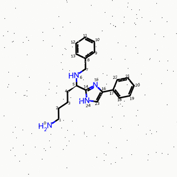 NCCCC[C@@H](NCc1ccccc1)c1nc(-c2ccccc2)c[nH]1